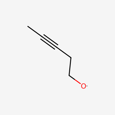 CC#CCC[O]